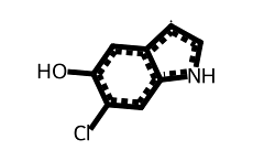 Oc1cc2[c]c[nH]c2cc1Cl